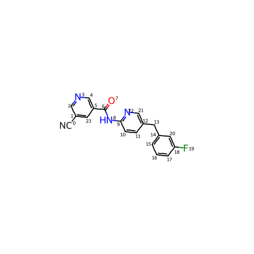 N#Cc1cncc(C(=O)Nc2ccc(Cc3cccc(F)c3)cn2)c1